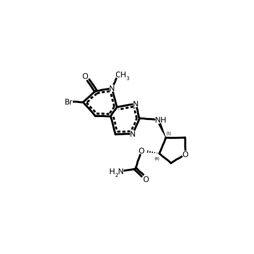 Cn1c(=O)c(Br)cc2cnc(N[C@H]3COC[C@@H]3OC(N)=O)nc21